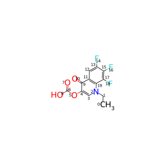 CCn1cc(OC(=O)O)c(=O)c2cc(F)c(F)c(F)c21